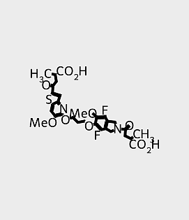 COc1cc2sc(C(=O)C[C@H](C)C(=O)O)cc2nc1OCCCOc1c(F)c2c(c(F)c1OC)CN(C(=O)C[C@H](C)C(=O)O)C2